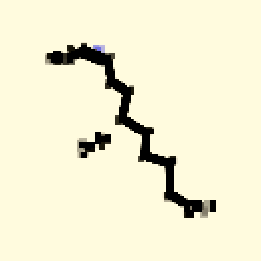 CCCCCCCC/C=C\CCCCCCCC(=O)O.[Fe].[Fe]